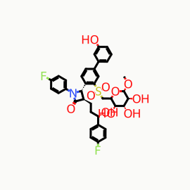 CO[C@@H]1OC(CS(=O)(=O)c2cc(-c3cccc(O)c3)ccc2[C@@H]2[C@@H](CC[C@H](O)c3ccc(F)cc3)C(=O)N2c2ccc(F)cc2)[C@H](O)[C@@H](O)[C@@H]1O